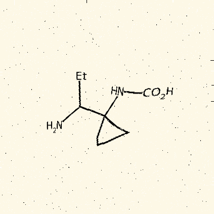 CCC(N)C1(NC(=O)O)CC1